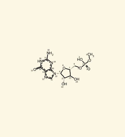 COP(=O)(O)OC[C@H]1O[C@@H](n2cnc3c(=O)[nH]c(N)nc32)[C@@H](O)C1O